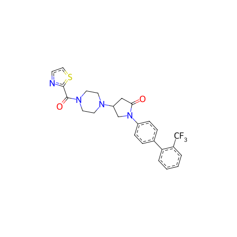 O=C(c1nccs1)N1CCN(C2CC(=O)N(c3ccc(-c4ccccc4C(F)(F)F)cc3)C2)CC1